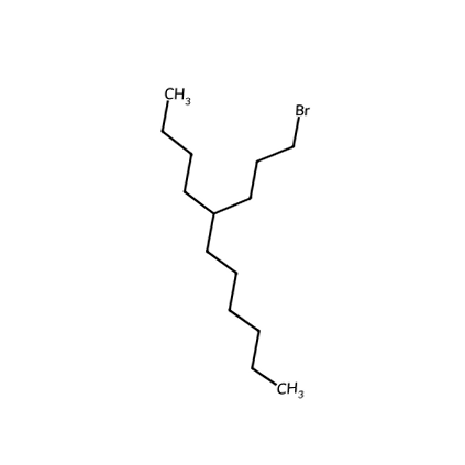 CCCCCCC(CCCC)CCCBr